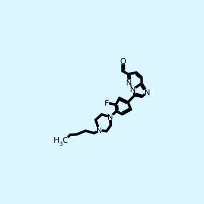 CCCCCN1CCN(c2ccc(-c3cnc4ccc(C=O)nn34)cc2F)CC1